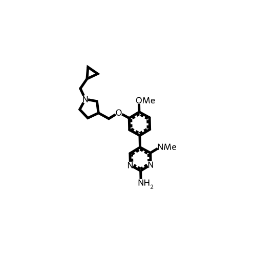 CNc1nc(N)ncc1-c1ccc(OC)c(OCC2CCN(CC3CC3)C2)c1